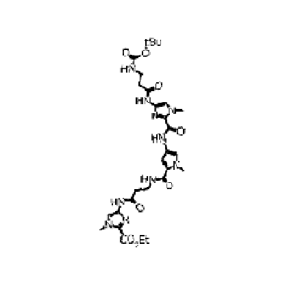 CCOC(=O)c1nc(NC(=O)CCNC(=O)c2cc(NC(=O)c3nc(NC(=O)CCNC(=O)OC(C)(C)C)cn3C)cn2C)cn1C